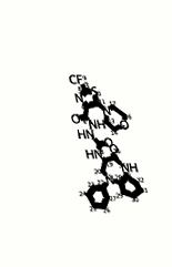 O=C(NNC(=O)c1nc(C(F)(F)F)sc1N1CCOCC1)NC1CN(c2ccccc2)c2ccccc2NC1=O